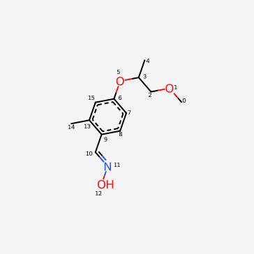 COCC(C)Oc1ccc(/C=N/O)c(C)c1